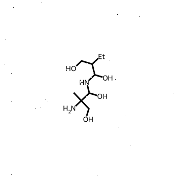 CCC(CO)C(O)NC(O)C(C)(N)CO